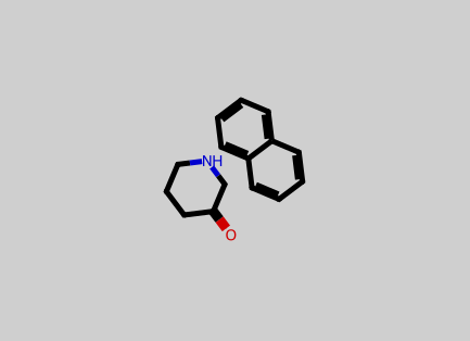 O=C1CCCNC1.c1ccc2ccccc2c1